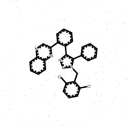 Clc1cccc(Cl)c1Cn1nnc(-c2ccccc2-c2cnc3ccccc3n2)c1-c1ccccc1